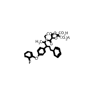 CC(C(CCc1ccccc1)c1ccc(Oc2ccccc2F)cc1)N(CC(=O)O)C(=O)C1COC(C(=O)O)(C(=O)O)O1